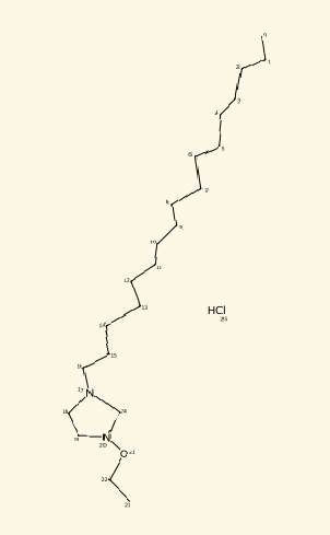 CCCCCCCCCCCCCCCCCN1CCN(OCC)C1.Cl